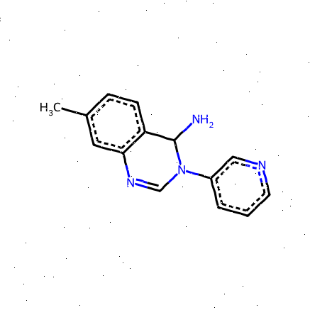 Cc1ccc2c(c1)N=CN(c1cccnc1)C2N